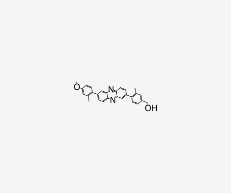 COc1ccc(-c2ccc3nc4cc(-c5ccc(CO)cc5C)ccc4nc3c2)c(C)c1